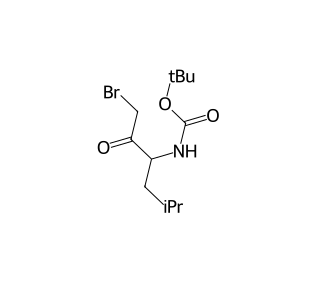 CC(C)CC(NC(=O)OC(C)(C)C)C(=O)CBr